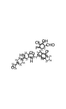 O=Cc1cc(-c2cn(CC(=O)NC3=C(Cl)CNC(N4CCN(C5COC5)CC4)=C3)c3nc4n(c(=O)c23)CCC4)c(F)c(Cl)c1O